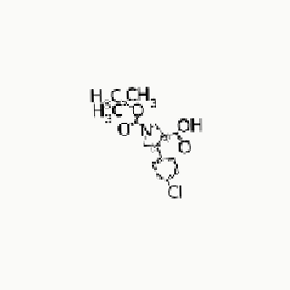 CC(C)(C)OC(=O)N1C[C@H](c2ccc(Cl)cc2)[C@H](C(=O)O)C1